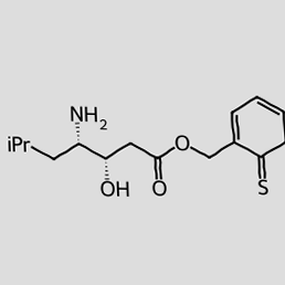 CC(C)C[C@H](N)[C@@H](O)CC(=O)OCC1=CC=CCC1=S